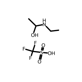 CCNC(C)O.O=S(=O)(O)C(F)(F)F